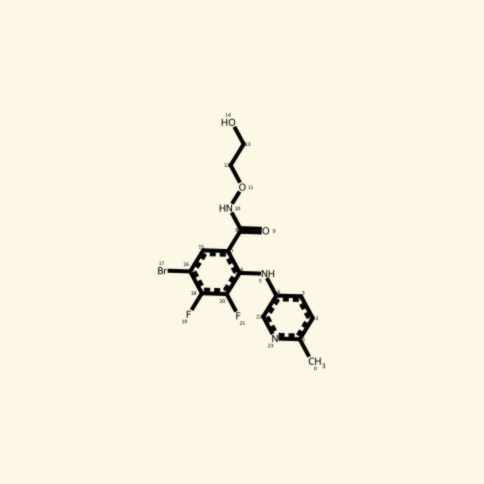 Cc1ccc(Nc2c(C(=O)NOCCO)cc(Br)c(F)c2F)cn1